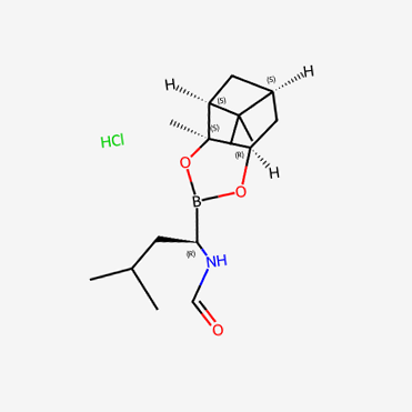 CC(C)C[C@H](NC=O)B1O[C@@H]2C[C@@H]3C[C@@H](C3(C)C)[C@]2(C)O1.Cl